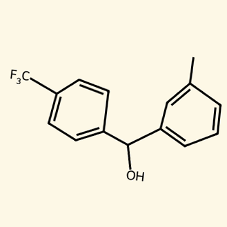 Cc1cccc(C(O)c2ccc(C(F)(F)F)cc2)c1